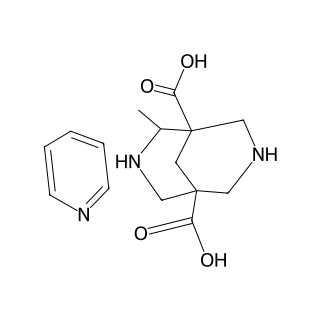 CC1NCC2(C(=O)O)CNCC1(C(=O)O)C2.c1ccncc1